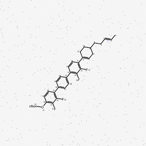 C/C=C/CCC1CC=C(c2ccc(-c3ccc(-c4ccc(OCCCCCCCCC)c(F)c4F)cc3)c(F)c2F)CC1